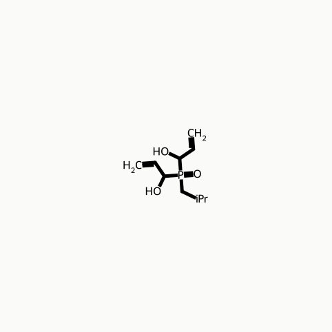 C=CC(O)P(=O)(CC(C)C)C(O)C=C